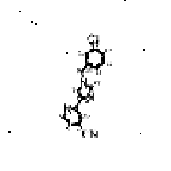 N#Cc1ccnc(-c2cn(Cc3cccc(Cl)c3)cn2)c1